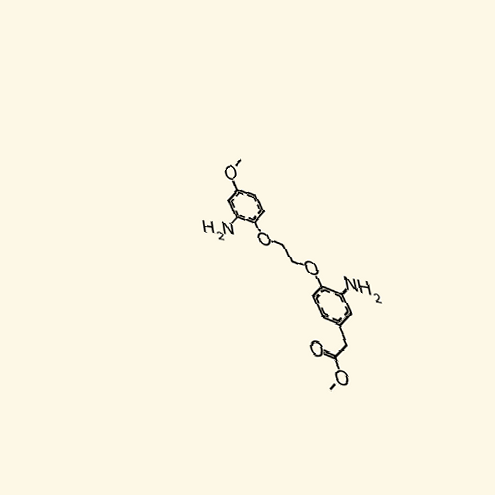 COC(=O)Cc1ccc(OCCOc2ccc(OC)cc2N)c(N)c1